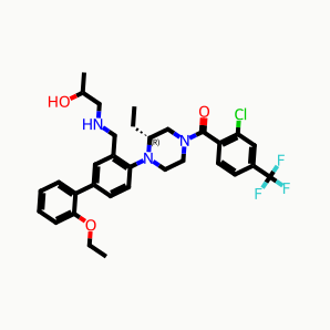 CCOc1ccccc1-c1ccc(N2CCN(C(=O)c3ccc(C(F)(F)F)cc3Cl)C[C@H]2CC)c(CNCC(C)O)c1